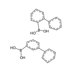 OB(O)c1cccc(-c2ccccc2)c1.OB(O)c1ccccc1-c1ccccc1